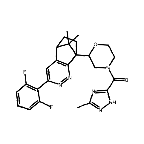 Cc1n[nH]c(C(=O)N2CCOC(C34CCC(c5cc(-c6c(F)cccc6F)nnc53)C4(C)C)C2)n1